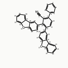 N#Cc1c(-c2ccccc2)ccc(-c2ccc3oc4ccccc4c3c2)c1-c1ccc2oc3ccccc3c2c1